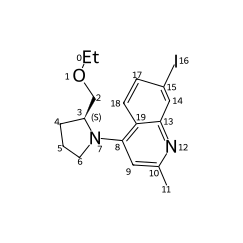 CCOC[C@@H]1CCCN1c1cc(C)nc2cc(I)ccc12